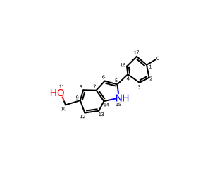 Cc1ccc(-c2cc3cc(CO)ccc3[nH]2)cc1